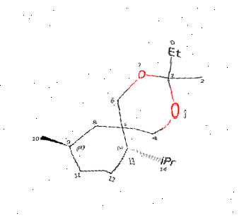 CCC1(C)OCC2(CO1)C[C@H](C)CC[C@H]2C(C)C